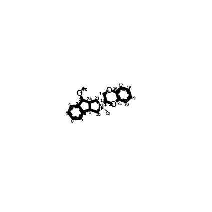 COC1c2ccccc2C2C[N@+](C)(C3COc4ccccc4O3)CC21